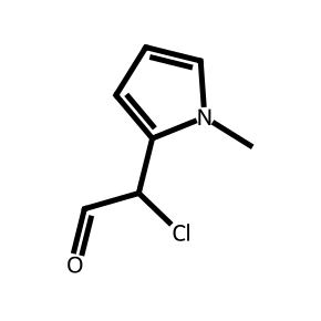 Cn1cccc1C(Cl)C=O